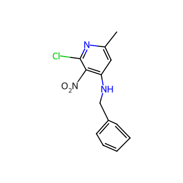 Cc1cc(NCc2ccccc2)c([N+](=O)[O-])c(Cl)n1